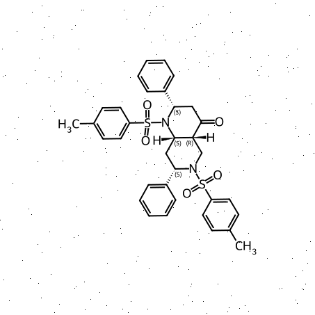 Cc1ccc(S(=O)(=O)N2C[C@H]3C(=O)C[C@@H](c4ccccc4)N(S(=O)(=O)c4ccc(C)cc4)[C@H]3C[C@H]2c2ccccc2)cc1